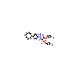 CCOC(=O)C(=CNc1ccc(C2CCCCCCC2)cc1)C(=O)OCC